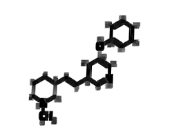 CN1CCCC(C=Cc2cncc(Oc3ccccc3)c2)C1